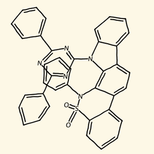 O=S1(=O)c2ccccc2-c2ccc3c4ccccc4n(-c4nc(-c5ccccc5)nc(-c5ccccc5)n4)c3c2N1c1ccccc1